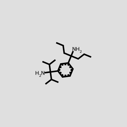 CCCC(N)(CCC)c1cccc(C(N)(C(C)C)C(C)C)c1